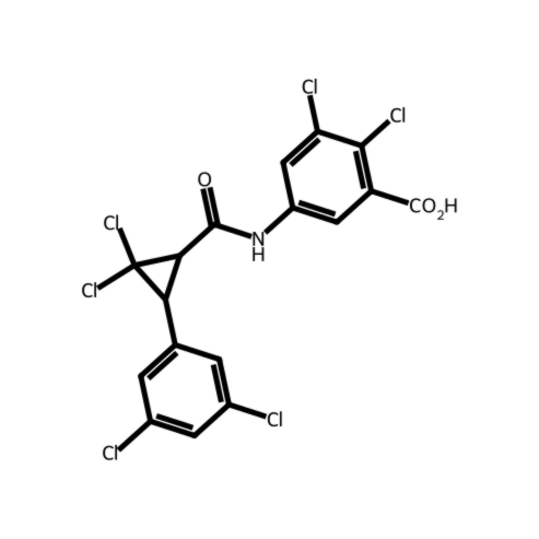 O=C(O)c1cc(NC(=O)C2C(c3cc(Cl)cc(Cl)c3)C2(Cl)Cl)cc(Cl)c1Cl